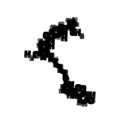 Cc1nn(CCCCCCCC#Cc2cccc(C(=O)N[C@H]3CCC(=O)NC3=O)n2)c2cc(C(=O)Nc3cc4[nH]c([C@H]5CCCN5C)cc4cn3)ccc12